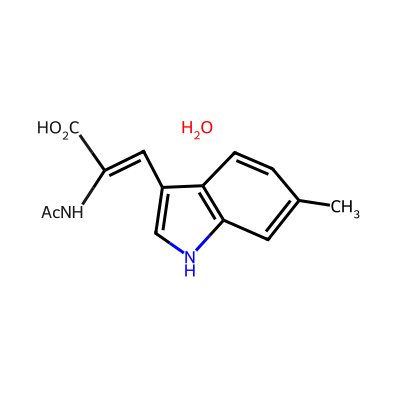 CC(=O)N/C(=C\c1c[nH]c2cc(C)ccc12)C(=O)O.O